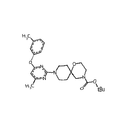 Cc1cccc(Oc2cc(C)nc(N3CCC4(CC3)CN(C(=O)OC(C)(C)C)CCO4)n2)c1